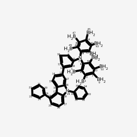 Bc1c(B)c(B)c(N(c2cccc(-c3ccc4c5c(-c6ccccc6)cccc5n(-c5ccccc5)c4c3)c2)c2c(B)c(B)c(B)c(B)c2B)c(B)c1B